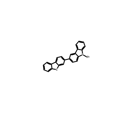 CC(C)n1c2ccccc2c2cc(-c3ccc4c(c3)sc3ccccc34)ccc21